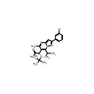 Cc1nc2cc(-c3cccc(Cl)c3)nn2c(C(C)C)c1[C@H](OC(C)(C)C)C(=O)O